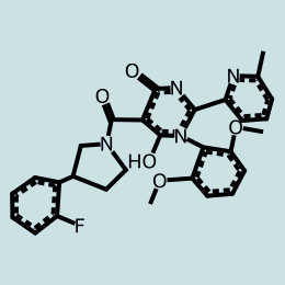 COc1cccc(OC)c1-n1c(-c2cccc(C)n2)nc(=O)c(C(=O)N2CCC(c3ccccc3F)C2)c1O